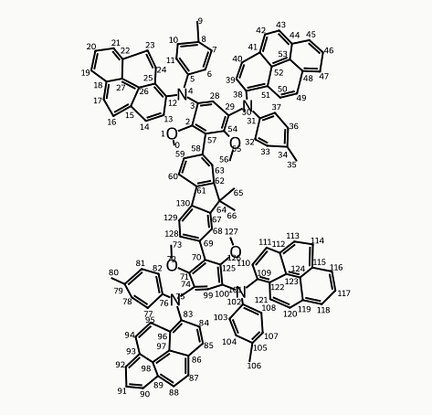 COc1c(N(c2ccc(C)cc2)c2ccc3ccc4cccc5ccc2c3c45)cc(N(c2ccc(C)cc2)c2ccc3ccc4cccc5ccc2c3c45)c(OC)c1-c1ccc2c(c1)C(C)(C)c1cc(-c3c(OC)c(N(c4ccc(C)cc4)c4ccc5ccc6cccc7ccc4c5c67)cc(N(c4ccc(C)cc4)c4ccc5ccc6cccc7ccc4c5c67)c3OC)ccc1-2